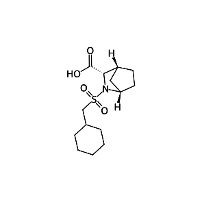 O=C(O)[C@@H]1[C@@H]2CC[C@@H](C2)N1S(=O)(=O)CC1CCCCC1